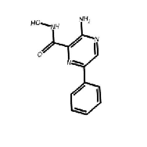 Nc1ncc(-c2ccccc2)nc1C(=O)NO